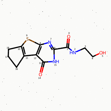 O=C(NCCO)c1nc2sc3c(c2c(=O)[nH]1)CCC3